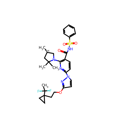 C[C@H]1CN(c2nc(-n3ccc(OCCC4(C(C)(F)F)CC4)n3)ccc2C(=O)NS(=O)(=O)c2ccccc2)C(C)(C)C1